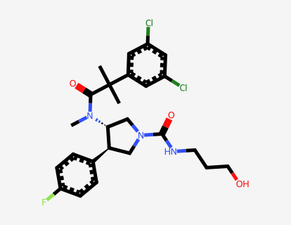 CN(C(=O)C(C)(C)c1cc(Cl)cc(Cl)c1)[C@@H]1CN(C(=O)NCCCO)C[C@H]1c1ccc(F)cc1